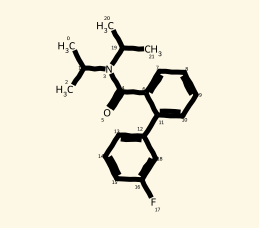 CC(C)N(C(=O)c1ccccc1-c1cccc(F)c1)C(C)C